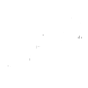 CC(C)C(C)(CC1CN(C2(C(C)C)CC2)CCO1)N1CCOCC1